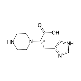 O=C(O)[C@H](Cc1c[nH]cn1)N1CCNCC1